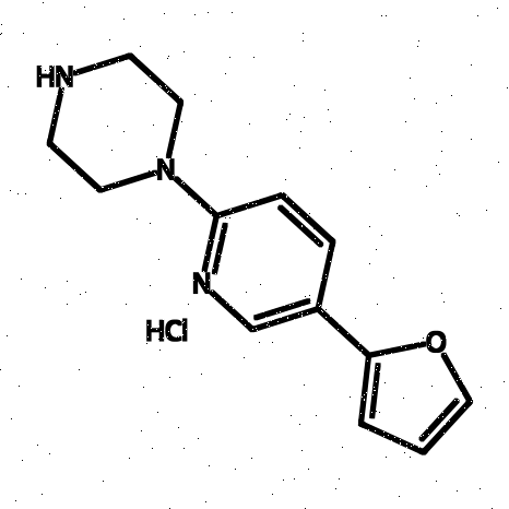 Cl.c1coc(-c2ccc(N3CCNCC3)nc2)c1